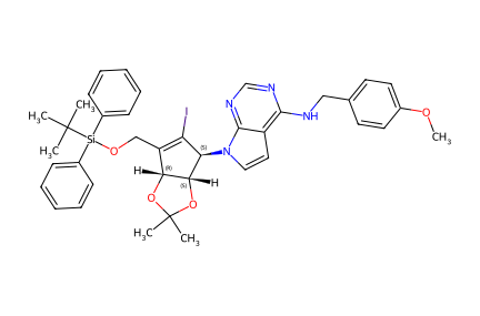 COc1ccc(CNc2ncnc3c2ccn3[C@@H]2C(I)=C(CO[Si](c3ccccc3)(c3ccccc3)C(C)(C)C)[C@H]3OC(C)(C)O[C@H]32)cc1